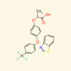 CC(Oc1ccc(Oc2ccc(C(F)(F)F)cc2)cc1)C(=O)O.c1ccc2scnc2c1